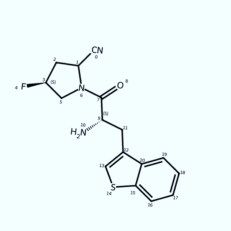 N#CC1C[C@H](F)CN1C(=O)[C@@H](N)Cc1csc2ccccc12